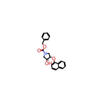 O=C(OCc1ccccc1)N1C[C@H](Oc2cccc3ccccc23)[C@@H](O)C1